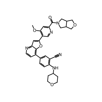 COc1cc(C(=O)N2CC3COCC3C2)ncc1-c1cc2nccc(-c3ccc(NC4CCOCC4)c(C#N)c3)c2o1